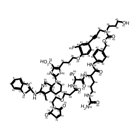 Cc1c(Nc2nc3ccccc3s2)nnc2c1CCCN2c1nc(C(=O)O)c(CCCOc2ccc(C#CCN(CCCO)C(=O)OCc3ccc(NC(=O)C(CCCNC(N)=O)NC(=O)C(NC(=O)CCOCCN4C(=O)C=CC4=O)C(C)C)cc3)cc2F)s1